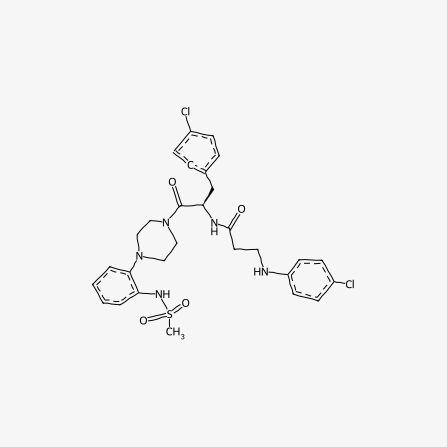 CS(=O)(=O)Nc1ccccc1N1CCN(C(=O)[C@@H](Cc2ccc(Cl)cc2)NC(=O)CCNc2ccc(Cl)cc2)CC1